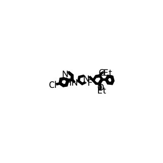 CCOC1=CC(F)(CN2CCC(Nc3ccnc4cc(Cl)ccc34)CC2)CC(OCC)=C1c1ccccc1